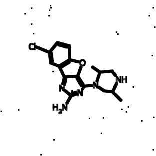 CC1CN(c2nc(N)nc3c2oc2ccc(Cl)cc23)C(C)CN1